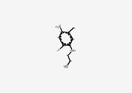 Cc1cc(NCCO)c(F)cc1[N+](=O)[O-]